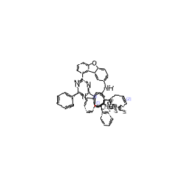 C/C=C\C[C@@H](C)C(C)C(/C=c1/cccc/c1=C(/C)c1ccccc1)Nc1ccc2oc3cccc(-c4nc(-c5ccccc5)nc(-c5ccccc5)n4)c3c2c1